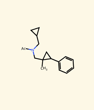 CC(=O)N(CC1CC1)CC1(C)CC1c1ccccc1